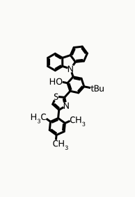 Cc1cc(C)c(-c2csc(-c3cc(C(C)(C)C)cc(-n4c5ccccc5c5ccccc54)c3O)n2)c(C)c1